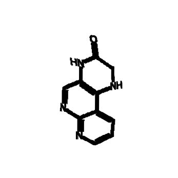 O=C1CNc2c(cnc3ncccc23)N1